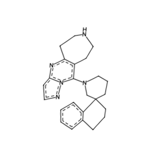 c1ccc2c(c1)CCCC21CCCN(c2c3c(nc4ccnn24)CCNCC3)C1